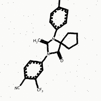 C=C1N(c2ccc(C#N)c(C(F)(F)F)c2)C(=O)C2(CCCC2)N1c1ccc(C)cc1